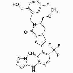 COC[C@H]1Cn2cc(-c3cc(Nc4ccnn4C)ncc3C(F)(F)F)cc2C(=O)N1Cc1cc(F)ccc1CO